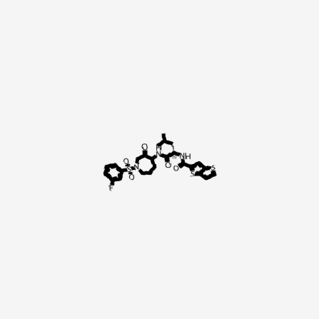 CC(C)C[C@H](NC(=O)c1cc2sccc2s1)C(=O)NC1CCCN(S(=O)(=O)c2cccc(F)c2)CC1=O